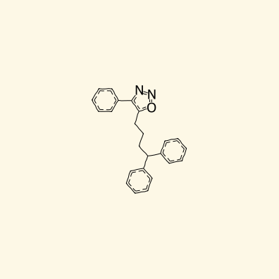 c1ccc(-c2nnoc2CCCC(c2ccccc2)c2ccccc2)cc1